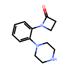 O=C1CCN1c1ccccc1N1CCNCC1